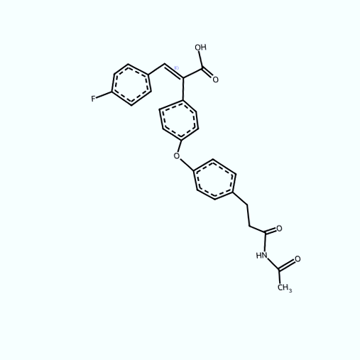 CC(=O)NC(=O)CCc1ccc(Oc2ccc(/C(=C\c3ccc(F)cc3)C(=O)O)cc2)cc1